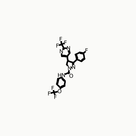 O=C(Nc1ccc(OC(F)(F)F)cc1)N1CC(c2cnc(C(F)(F)F)nc2)C(c2ccc(F)cc2)=N1